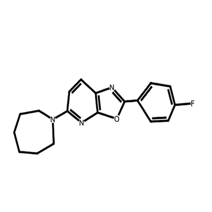 Fc1ccc(-c2nc3ccc(N4CCCCCC4)nc3o2)cc1